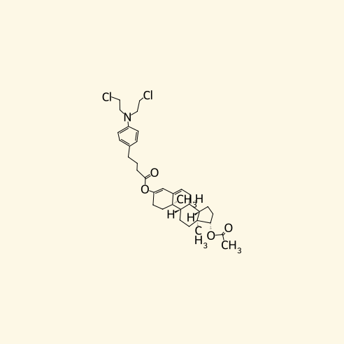 CC(=O)O[C@H]1CC[C@H]2[C@@H]3CC=C4C=C(OC(=O)CCCc5ccc(N(CCCl)CCCl)cc5)CC[C@]4(C)[C@H]3CC[C@]12C